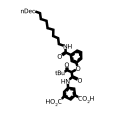 CCCCCCCCCCCCCCCCCCNC(=O)c1cccc(OC(C(=O)Nc2cc(C(=O)O)cc(C(=O)O)c2)C(=O)C(C)(C)C)c1